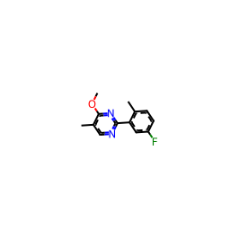 COc1nc(-c2cc(F)ccc2C)ncc1C